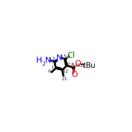 Cc1c(N)nc(Cl)c(C(=O)OC(C)(C)C)c1C